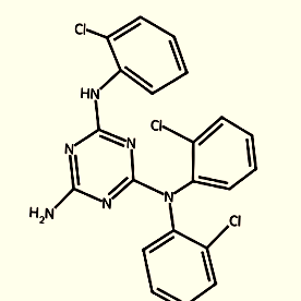 Nc1nc(Nc2ccccc2Cl)nc(N(c2ccccc2Cl)c2ccccc2Cl)n1